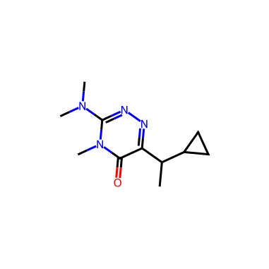 CC(c1nnc(N(C)C)n(C)c1=O)C1CC1